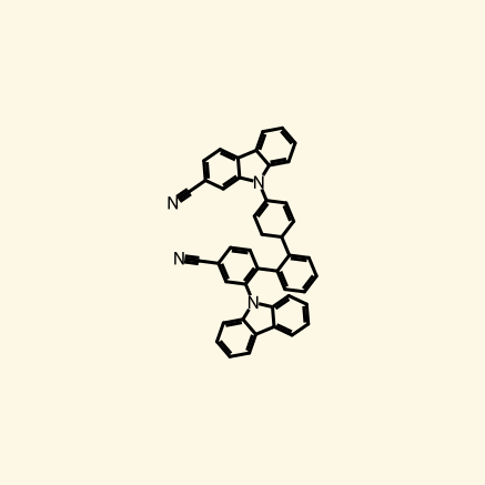 N#Cc1ccc(-c2ccccc2C2C=CC(n3c4ccccc4c4ccc(C#N)cc43)=CC2)c(-n2c3ccccc3c3ccccc32)c1